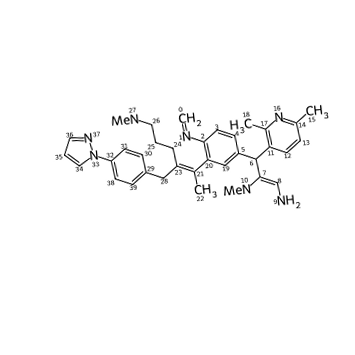 C=Nc1ccc(C(/C(=C/N)NC)c2ccc(C)nc2C)cc1/C(C)=C(\CCCNC)Cc1ccc(-n2cccn2)cc1